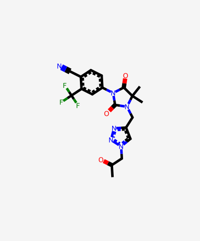 CC(=O)Cn1cc(CN2C(=O)N(c3ccc(C#N)c(C(F)(F)F)c3)C(=O)C2(C)C)nn1